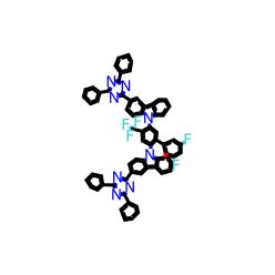 Fc1cc(F)cc(-c2cc(-n3c4ccccc4c4cc(-c5nc(-c6ccccc6)nc(-c6ccccc6)n5)ccc43)c(C(F)(F)F)cc2-n2c3ccccc3c3cc(-c4nc(-c5ccccc5)nc(-c5ccccc5)n4)ccc32)c1